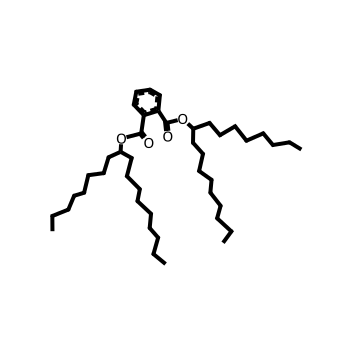 CCCCCCCCCC(CCCCCCCC)OC(=O)c1ccccc1C(=O)OC(CCCCCCCC)CCCCCCCCC